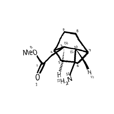 COC(=O)[C@H]1C2CCC(CC2)[C@@H]1N